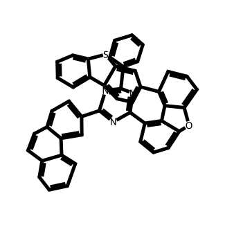 c1ccc(-c2nc(-c3ccc4ccc5ccccc5c4c3)nc(-c3cccc4oc5cccc(-c6ccc7c(c6)sc6ccccc67)c5c34)n2)cc1